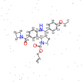 C=CCOC(=O)N1CCC2C(c3ccc(OCC)cc3)Nc3ccc(C(=O)N4CCC4)cc3C21